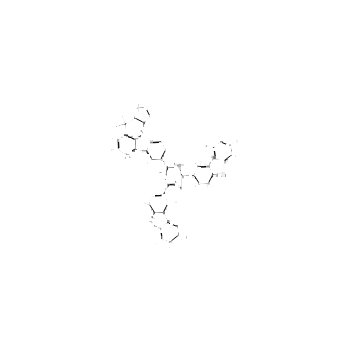 CC1(C)c2sccc2-n2c3ccc(-c4nc(-c5ccc6sc7ccccc7c6c5)nc(-c5ccc6sc7ccccc7c6c5)n4)cc3c3cccc1c32